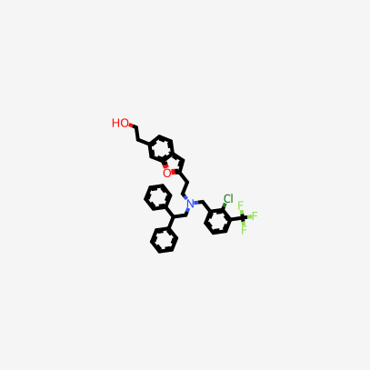 OCCc1ccc2cc(CCN(Cc3cccc(C(F)(F)F)c3Cl)CC(c3ccccc3)c3ccccc3)oc2c1